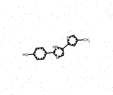 Cc1csc(-c2cnc(-c3ccc(O)cc3)[nH]2)c1